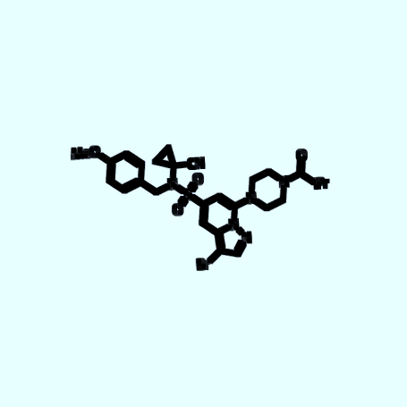 COc1ccc(CN(C2(C#N)CC2)S(=O)(=O)c2cc(N3CCN(C(=O)C(C)C)CC3)n3ncc(Br)c3c2)cc1